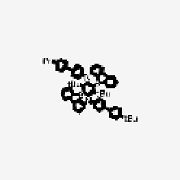 CC(C)c1ccc(-c2ccc(N3c4cccc5c4B(c4ccccc4-5)c4c3c(C(C)(C)C)c3c(c4C(C)(C)C)N(c4ccc(-c5ccc(C(C)(C)C)cc5)cc4)c4cccc5c4B3c3ccccc3-5)cc2)cc1